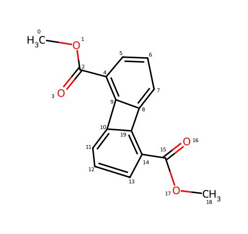 COC(=O)c1cccc2c1-c1cccc(C(=O)OC)c1-2